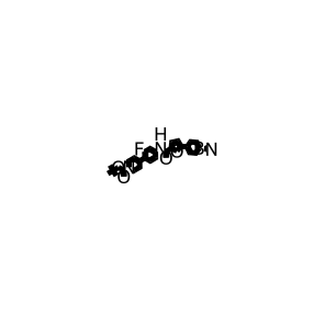 CC(C)(C)OC(=O)N1CC=C(c2ccc(NC(=O)c3ccc(C4=CCB(C#N)CC4)o3)cc2F)CC1